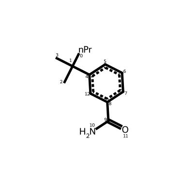 CCCC(C)(C)c1cccc(C(N)=O)c1